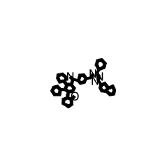 c1ccc(-c2nc(-c3ccc(-c4nc5ccccc5c5c(-c6ccccc6)c6c(cc45)oc4ccccc46)cc3)nc(-c3ccc4ccccc4c3)n2)cc1